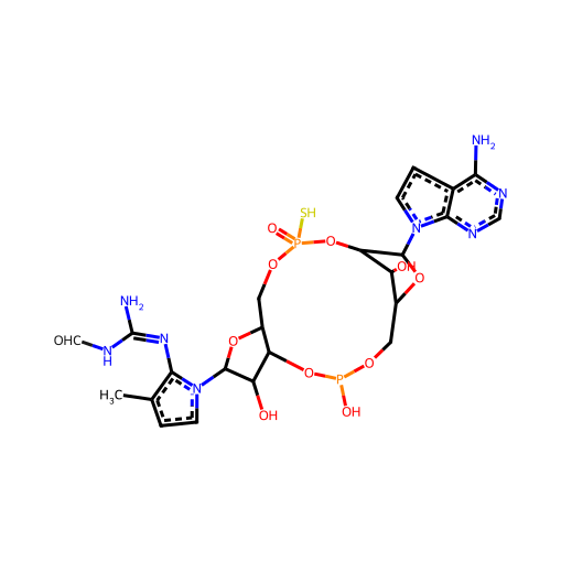 Cc1ccn(C2OC3COP(=O)(S)OC4C(O)C(COP(O)OC3C2O)OC4n2ccc3c(N)ncnc32)c1/N=C(/N)NC=O